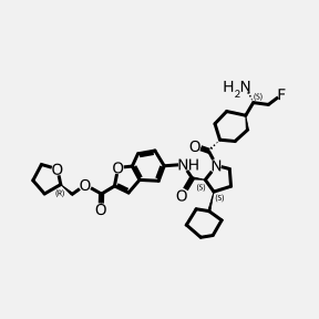 N[C@H](CF)[C@H]1CC[C@H](C(=O)N2CC[C@@H](C3CCCCC3)[C@H]2C(=O)Nc2ccc3oc(C(=O)OC[C@H]4CCCO4)cc3c2)CC1